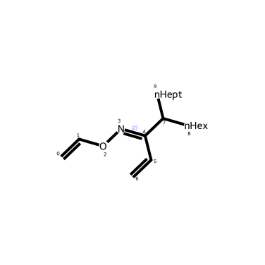 C=CO/N=C(\C=C)C(CCCCCC)CCCCCCC